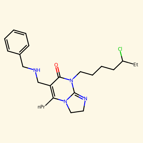 CCCC1=C(CNCc2ccccc2)C(=O)N(CCCCC(Cl)CC)C2=NCCN21